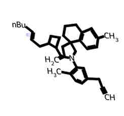 C#CCc1ccc(C)c(N(CC2CCC2C/C=C/CCCC)CC2(CC=C)CCCc3cc(C)ccc32)c1